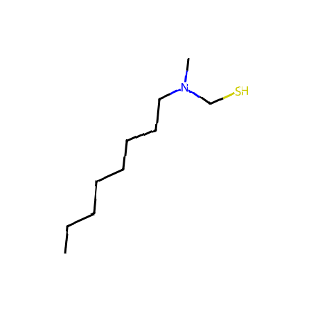 CCCCCCCCN(C)CS